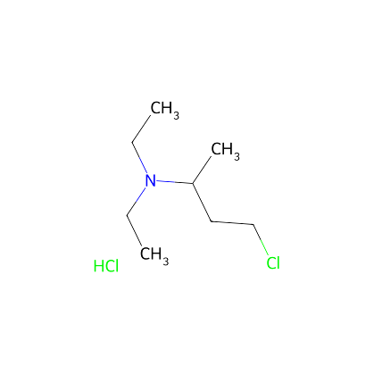 CCN(CC)C(C)CCCl.Cl